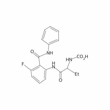 CCC(NC(=O)O)C(=O)Nc1cccc(F)c1C(=O)Nc1ccccc1